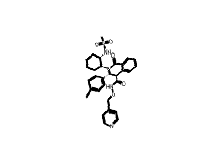 Cc1ccc([C@H]2[C@H](C(=O)NOCc3ccncc3)c3ccccc3C(=O)N2[C@H]2CCCC[C@@H]2NS(C)(=O)=O)cc1